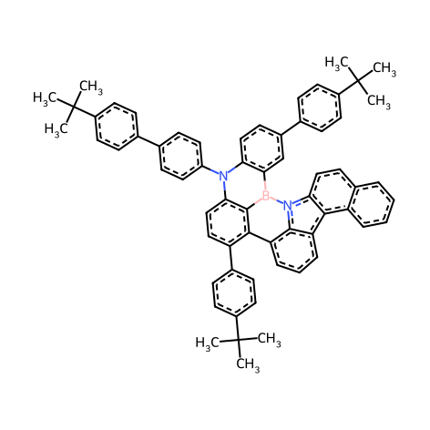 CC(C)(C)c1ccc(-c2ccc(N3c4ccc(-c5ccc(C(C)(C)C)cc5)cc4B4c5c3ccc(-c3ccc(C(C)(C)C)cc3)c5-c3cccc5c6c7ccccc7ccc6n4c35)cc2)cc1